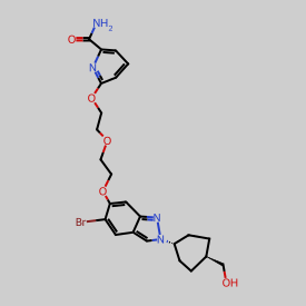 NC(=O)c1cccc(OCCOCCOc2cc3nn([C@H]4CC[C@H](CO)CC4)cc3cc2Br)n1